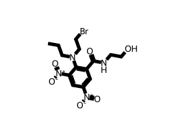 CCCN(CCBr)c1c(C(=O)NCCO)cc([N+](=O)[O-])cc1[N+](=O)[O-]